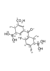 CC1C(C(=O)O)=CC(C(=O)C2=C(F)C=C(F)C(B(O)O)C2C)=CC1B(O)O